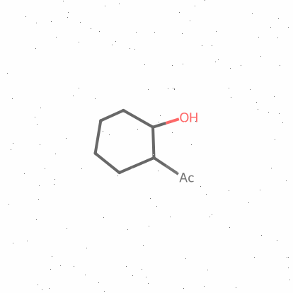 CC(=O)C1CCCCC1O